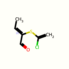 C=C(Cl)S/C(C=O)=C\C